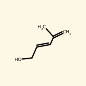 C=C(C)C=CCO